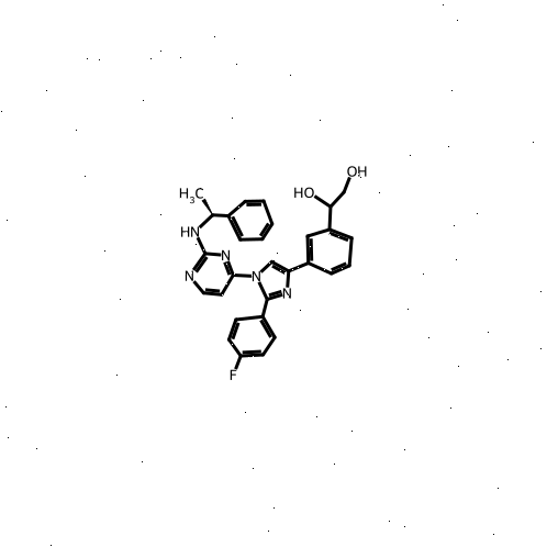 C[C@H](Nc1nccc(-n2cc(-c3cccc(C(O)CO)c3)nc2-c2ccc(F)cc2)n1)c1ccccc1